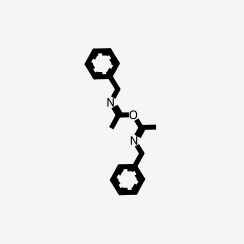 CC(=NCc1ccccc1)OC(C)=NCc1ccccc1